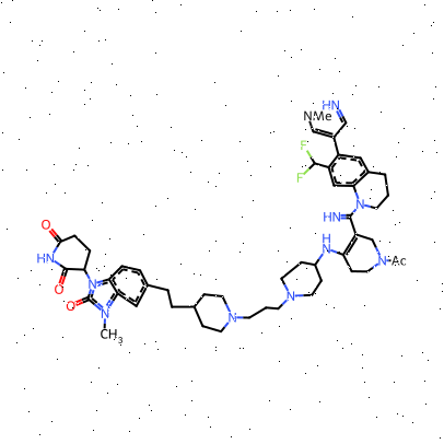 CN/C=C(\C=N)c1cc2c(cc1C(F)F)N(C(=N)C1=C(NC3CCN(CCCN4CCC(CCc5ccc6c(c5)n(C)c(=O)n6C5CCC(=O)NC5=O)CC4)CC3)CCN(C(C)=O)C1)CCC2